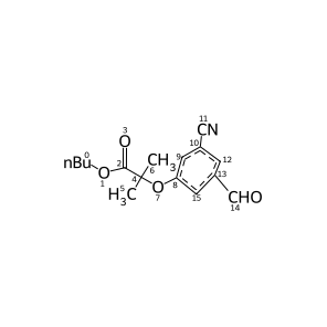 CCCCOC(=O)C(C)(C)Oc1cc(C#N)cc(C=O)c1